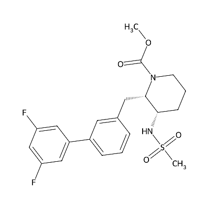 COC(=O)N1CCC[C@H](NS(C)(=O)=O)[C@@H]1Cc1cccc(-c2cc(F)cc(F)c2)c1